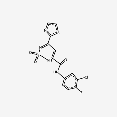 O=C(Nc1ccc(F)c(Cl)c1)C1=CC(c2nccs2)=NS(=O)(=O)N1